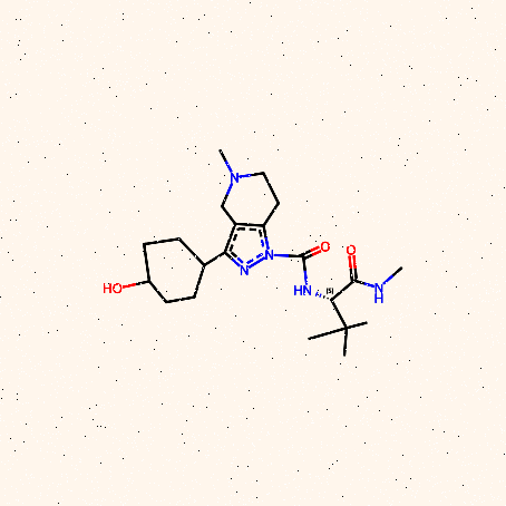 CNC(=O)[C@@H](NC(=O)n1nc(C2CCC(O)CC2)c2c1CCN(C)C2)C(C)(C)C